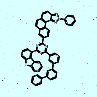 c1ccc(-c2cccc(-c3cccc(-c4nc(-c5ccc6c(ccc7ccc8nn(-c9ccccc9)nc8c76)c5)nc(-c5cccc6oc7ccccc7c56)n4)c3)c2)cc1